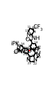 COc1cc(C(=O)Nc2cc(C(F)(F)F)ccn2)cc(F)c1-c1ncn2ccnc(-c3cn4c5oc=5n(C(C)C)cc4cc3N)c12